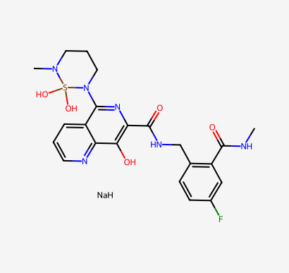 CNC(=O)c1cc(F)ccc1CNC(=O)c1nc(N2CCCN(C)S2(O)O)c2cccnc2c1O.[NaH]